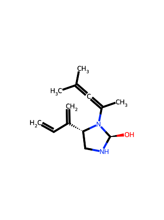 C=CC(=C)[C@H]1CN[C@H](O)N1C(C)=C=C(C)C